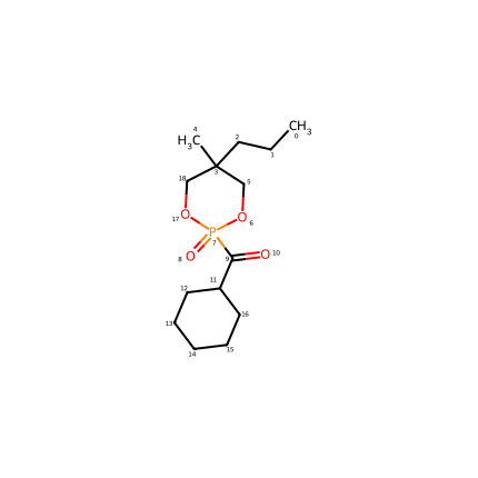 CCCC1(C)COP(=O)(C(=O)C2CCCCC2)OC1